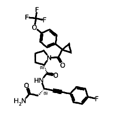 NC(=O)C[C@@H](C#Cc1ccc(F)cc1)NC(=O)[C@@H]1CCCN1C(=O)C1(c2ccc(OC(F)(F)F)cc2)CC1